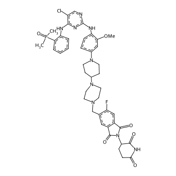 COc1cc(N2CCC(N3CCN(Cc4cc5c(cc4F)C(=O)N(C4CCC(=O)NC4=O)C5=O)CC3)CC2)ccc1Nc1ncc(Cl)c(Nc2ccccc2P(C)(C)=O)n1